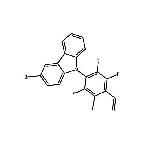 C=Cc1c(F)c(F)c(-n2c3ccccc3c3cc(Br)ccc32)c(F)c1F